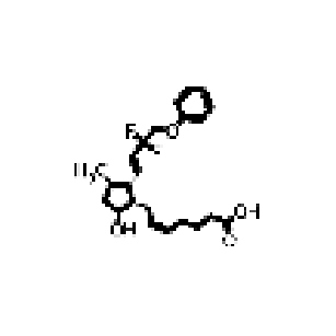 C[C@@H]1C[C@H](O)[C@H](C/C=C\CCCC(=O)O)[C@H]1/C=C/C(F)(F)COc1ccccc1